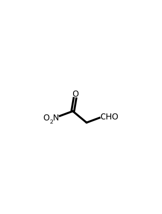 O=CCC(=O)[N+](=O)[O-]